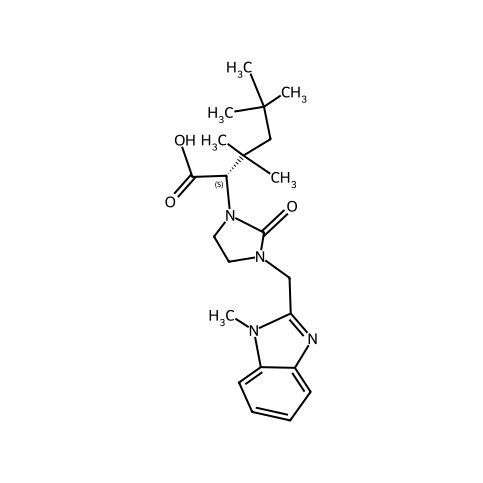 Cn1c(CN2CCN([C@H](C(=O)O)C(C)(C)CC(C)(C)C)C2=O)nc2ccccc21